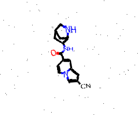 N#Cc1cc2cc(C(=O)NC3CC4CNC3C4)ccn2c1